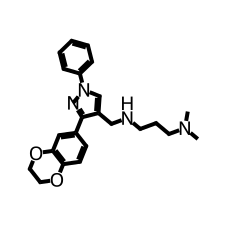 CN(C)CCCNCc1cn(-c2ccccc2)nc1-c1ccc2c(c1)OCCO2